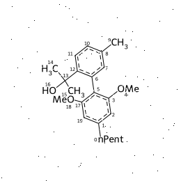 CCCCCc1cc(OC)c(-c2cc(C)ccc2C(C)(C)O)c(OC)c1